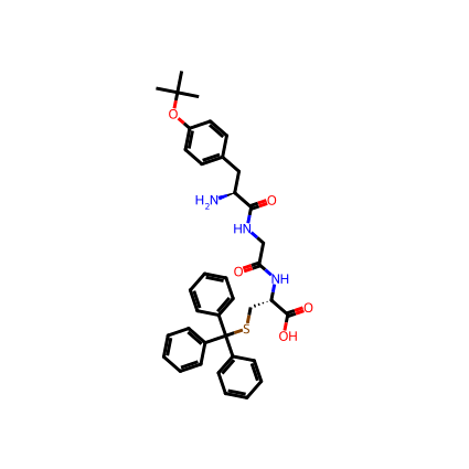 CC(C)(C)Oc1ccc(C[C@H](N)C(=O)NCC(=O)N[C@@H](CSC(c2ccccc2)(c2ccccc2)c2ccccc2)C(=O)O)cc1